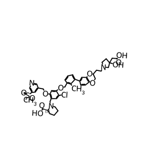 Cc1c(COc2cc(OCc3cncc(S(C)(=O)=O)c3)c(CN3CCCC[C@H]3C(=O)O)cc2Cl)cccc1-c1ccc2c(c1)OC(CCN1CCC(O)(CC(=O)O)C1)CO2